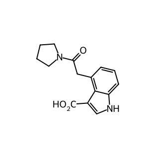 O=C(O)c1c[nH]c2cccc(CC(=O)N3CCCC3)c12